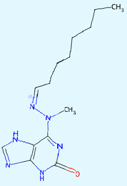 CCCCCCC/C=N\N(C)c1nc(=O)[nH]c2nc[nH]c12